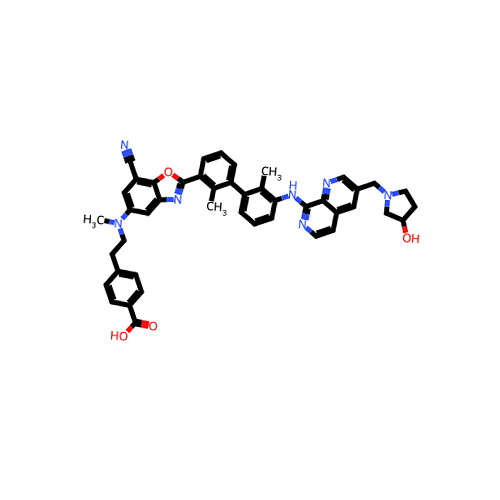 Cc1c(Nc2nccc3cc(CN4CCC(O)C4)cnc23)cccc1-c1cccc(-c2nc3cc(N(C)CCc4ccc(C(=O)O)cc4)cc(C#N)c3o2)c1C